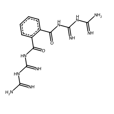 N=C(N)NC(=N)NC(=O)c1ccccc1C(=O)NC(=N)NC(=N)N